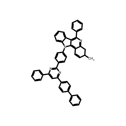 CC1C=Cc2c(nc(-c3ccccc3)c3c4ccccc4n(-c4ccc(-c5nc(-c6ccccc6)cc(-c6ccc(-c7ccccc7)cc6)n5)cc4)c23)C1